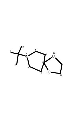 CC(C)(C)N1CCC2(CC1)OCCO2